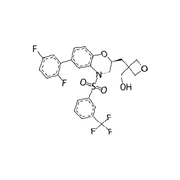 O=S(=O)(c1cccc(C(F)(F)F)c1)N1C[C@H](CC2(CO)COC2)Oc2ccc(-c3cc(F)ccc3F)cc21